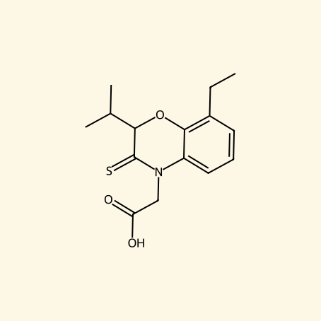 CCc1cccc2c1OC(C(C)C)C(=S)N2CC(=O)O